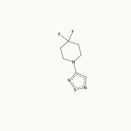 FC1(F)CCN(c2cnsn2)CC1